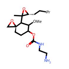 COC1C(OC(=O)NCCN)CC[C@]2(CO2)C1C1(C)O[C@@H]1CCC(C)C